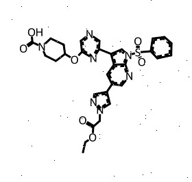 CCOC(=O)Cn1cc(-c2cnc3c(c2)c(-c2cncc(OC4CCN(C(=O)O)CC4)n2)cn3S(=O)(=O)c2ccccc2)cn1